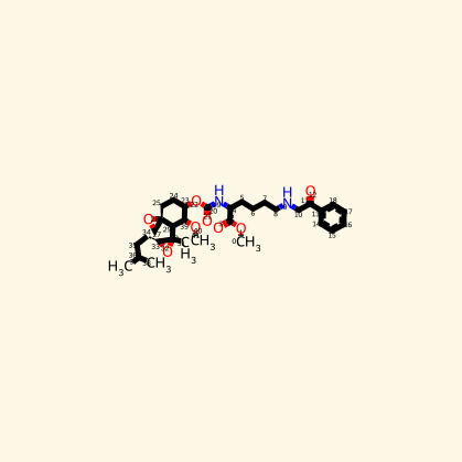 COC(=O)C(CCCCNCC(=O)c1ccccc1)NC(=O)OC1CC[C@]2(CO2)C(C2(C)O[C@@H]2CCC(C)C)C1OC